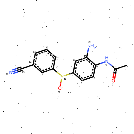 CC(=O)Nc1ccc([S+]([O-])c2cccc(C#N)c2)cc1N